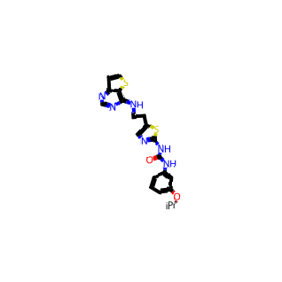 CC(C)Oc1cccc(NC(=O)Nc2ncc(CCNc3ncnc4ccsc34)s2)c1